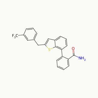 NC(=O)c1ccccc1-c1cccc2cc(Cc3cccc(C(F)(F)F)c3)sc12